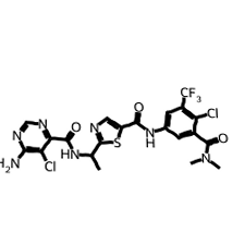 CC(NC(=O)c1ncnc(N)c1Cl)c1ncc(C(=O)Nc2cc(C(=O)N(C)C)c(Cl)c(C(F)(F)F)c2)s1